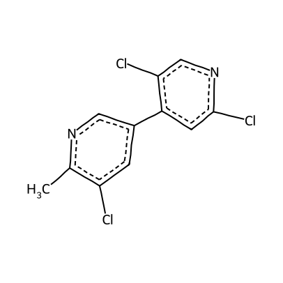 Cc1ncc(-c2cc(Cl)ncc2Cl)cc1Cl